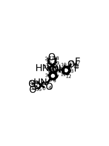 CC1(NC(=O)c2ccc(Nc3cccc(OC(F)F)c3)c(C(=N)C3(O)CCOCC3)c2)CS(=O)(=O)C1